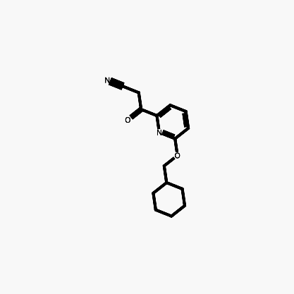 N#CCC(=O)c1cccc(OCC2CCCCC2)n1